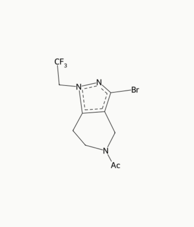 CC(=O)N1CCc2c(c(Br)nn2CC(F)(F)F)C1